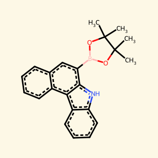 CC1(C)OB(c2cc3ccccc3c3c2[nH]c2ccccc23)OC1(C)C